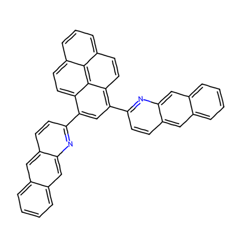 c1ccc2cc3nc(-c4cc(-c5ccc6cc7ccccc7cc6n5)c5ccc6cccc7ccc4c5c76)ccc3cc2c1